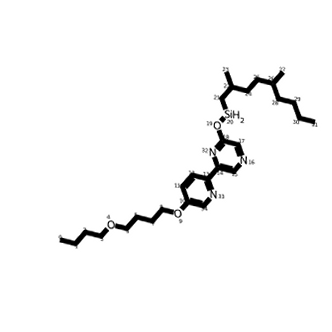 CCCCOCCCCOc1ccc(-c2cncc(O[SiH2]CC(C)CCC(C)CCCC)n2)nc1